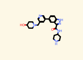 O=C(NC1CCNCC1)c1n[nH]c2ccc(-c3cncc(CN4CCC(O)CC4)c3)cc12